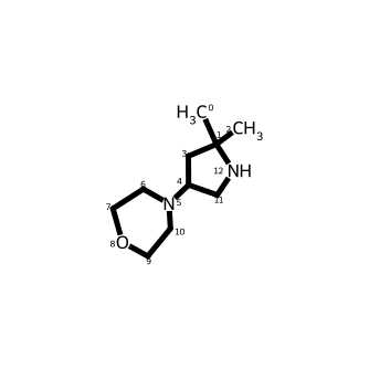 CC1(C)CC(N2CCOCC2)CN1